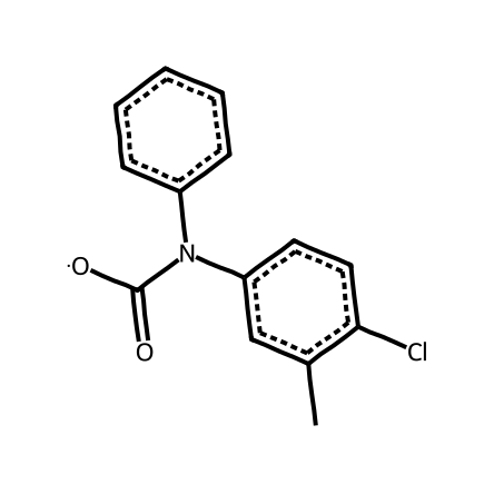 Cc1cc(N(C([O])=O)c2ccccc2)ccc1Cl